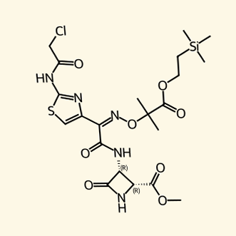 COC(=O)[C@@H]1NC(=O)[C@@H]1NC(=O)C(=NOC(C)(C)C(=O)OCC[Si](C)(C)C)c1csc(NC(=O)CCl)n1